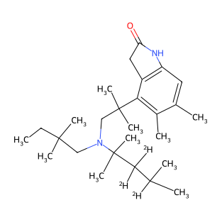 [2H]C(C)(C)C([2H])([2H])C(C)(C)N(CC(C)(C)CC)CC(C)(C)c1c(C)c(C)cc2c1CC(=O)N2